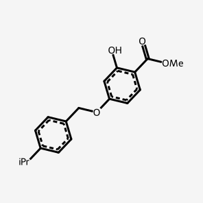 COC(=O)c1ccc(OCc2ccc(C(C)C)cc2)cc1O